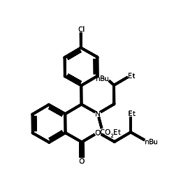 CCCCC(CC)COC(=O)c1ccccc1C(c1ccc(Cl)cc1)N(CC(CC)CCCC)C(=O)OCC